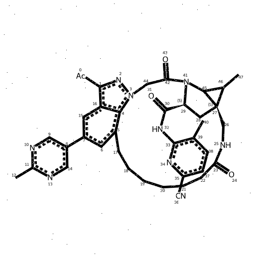 CC(=O)c1nn2c3c(cc(-c4cnc(C)nc4)cc13)CCCCCCC(=O)NC[C@@]13C[C@@H](C(=O)Nc4nc(C#N)ccc4C)N(C(=O)C2)C1C3C